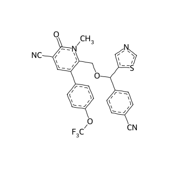 Cn1c(COC(c2ccc(C#N)cc2)c2cncs2)c(-c2ccc(OC(F)(F)F)cc2)cc(C#N)c1=O